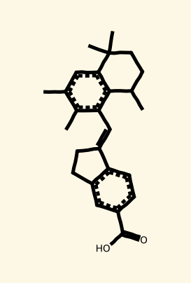 Cc1cc2c(c(C=C3CCc4cc(C(=O)O)ccc43)c1C)C(C)CCC2(C)C